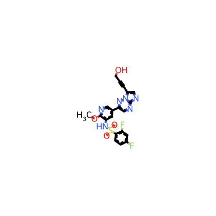 COc1ncc(-c2cnc3ncc(C#CCO)n3n2)cc1NS(=O)(=O)c1ccc(F)cc1F